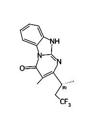 Cc1c([C@H](C)CC(F)(F)F)nc2[nH]c3ccccc3n2c1=O